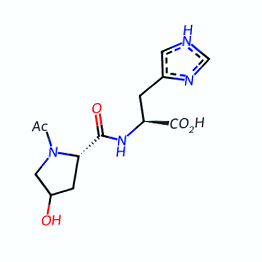 CC(=O)N1CC(O)C[C@H]1C(=O)N[C@@H](Cc1c[nH]cn1)C(=O)O